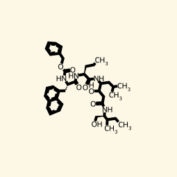 CCC[C@H](NC(=O)[C@H](Cc1cccc2ccccc12)NC(=O)OCc1ccccc1)C(=O)NC(CC(C)C)C(O)CC(=O)N[C@H](CO)C(C)CC